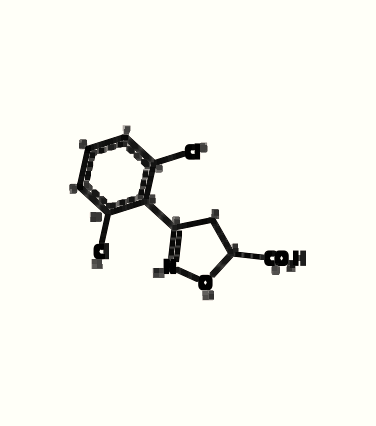 O=C(O)C1CC(c2c(Cl)cccc2Cl)=NO1